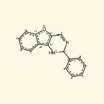 C1=NC(c2ccccc2)Nc2c1oc1ccccc21